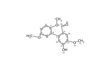 COc1ccc(OC)c(-c2cc(O)c(OC)cc2C=O)c1